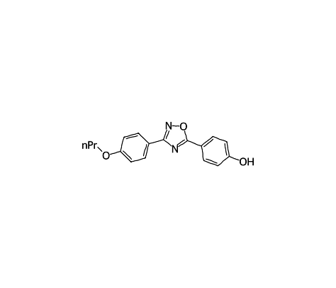 CCCOc1ccc(-c2noc(-c3ccc(O)cc3)n2)cc1